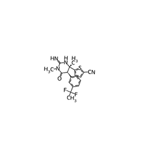 CN1C(=N)N[C@](C)(c2ccc(C#N)s2)[C@@H](c2cccc(C(C)(F)F)c2)C1=O